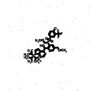 COCc1cnc(C(O)c2ncnc3c2ccn3[Si](C(C)C)(C(C)C)C(C)C)c(N(COC)S(=O)(=O)c2ccc(Cl)c(C(F)(F)F)c2)c1